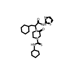 O=C(Nc1nccs1)C(CC1CCCCC1)N1CCN(C(=S)NC2CCCCC2)CC1=O